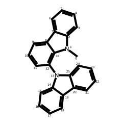 Cn1c2ccccc2c2cccc(-n3c4ccccc4c4ccccc43)c21